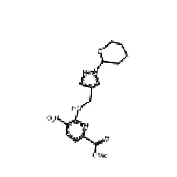 COC(=O)c1ccc([N+](=O)[O-])c(NCc2cnn(C3CCCCO3)c2)n1